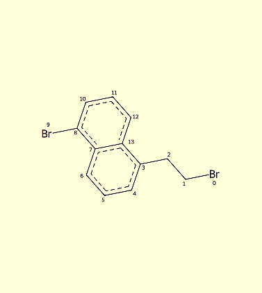 BrCCc1cccc2c(Br)cccc12